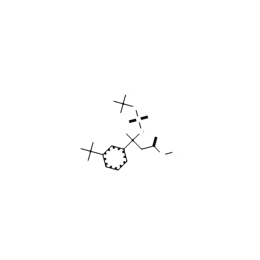 COC(=O)CC(C)(NS(=O)(=O)NC(C)(C)C)c1cccc(C(F)(F)F)c1